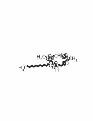 CCCCCCCCCCCC(=O)OC(CCP(=O)(OCC)OCC)S(=O)(=O)NCCc1coc([Si](CC)(CC)CC)c1